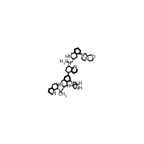 CN(C[C@@H]1Cc2c(cc(C3CC[C@H](N(C)C[C@H]4Cc5c(cccc5N5CCN6CCOCC6C5)CN4)c4ncccc43)cc2N2C[C@H]3C[C@@H]2CN3)CN1)[C@H]1CCCc2cccnc21